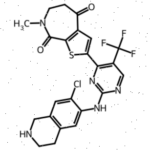 CN1CCC(=O)c2cc(-c3nc(Nc4cc5c(cc4Cl)CNCC5)ncc3C(F)(F)F)sc2C1=O